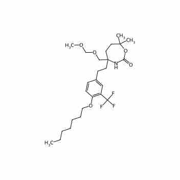 CCCCCCCOc1ccc(CCC2(COCOC)CCC(C)(C)OC(=O)N2)cc1C(F)(F)F